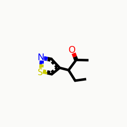 CCC(C(C)=O)c1cnsc1